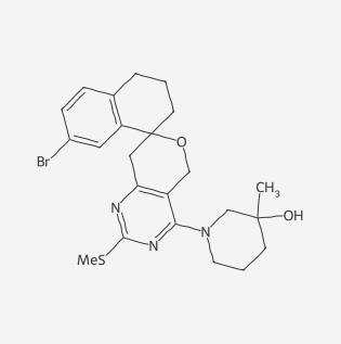 CSc1nc2c(c(N3CCCC(C)(O)C3)n1)COC1(CCCc3ccc(Br)cc31)C2